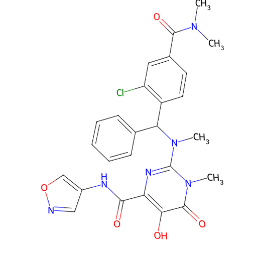 CN(C)C(=O)c1ccc(C(c2ccccc2)N(C)c2nc(C(=O)Nc3cnoc3)c(O)c(=O)n2C)c(Cl)c1